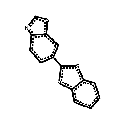 [c]1cccc2nc(-c3ccc4ncsc4c3)sc12